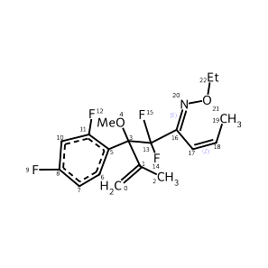 C=C(C)C(OC)(c1ccc(F)cc1F)C(F)(F)C(/C=C\C)=N/OCC